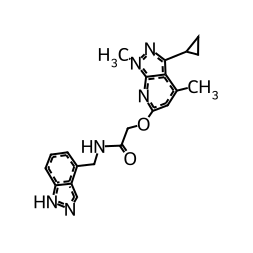 Cc1cc(OCC(=O)NCc2cccc3[nH]ncc23)nc2c1c(C1CC1)nn2C